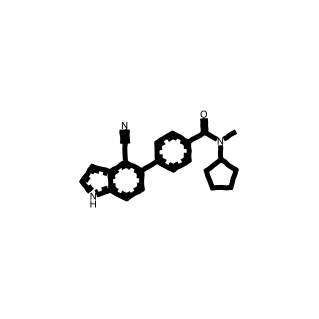 CN(C(=O)c1ccc(-c2ccc3[nH]ccc3c2C#N)cc1)C1CCCC1